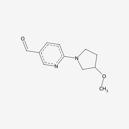 COC1CCN(c2ccc(C=O)cn2)C1